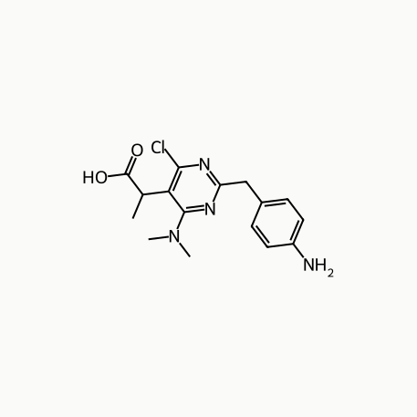 CC(C(=O)O)c1c(Cl)nc(Cc2ccc(N)cc2)nc1N(C)C